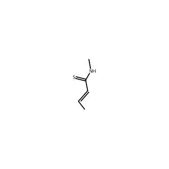 CC=CC(=S)NC